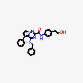 O=C(Nc1ccc(CCO)cc1)c1nc(NCc2ccccc2)c2c(-c3ccccc3)ccn2n1